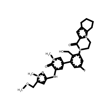 COCc1cc(Nc2cc(-c3cc(F)cc(N4CCn5c(cc6c5CCCC6)C4=O)c3CO)cn(C)c2=O)nn1C